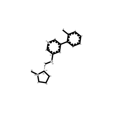 Cc1ccccc1-c1cncc(OC[C@@H]2CCCN2C)c1